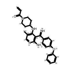 C=CC(=O)N1CCC(Nc2c(I)cnc(N)c2C(=N)c2ccc(Oc3ccccc3)cc2)CC1